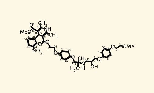 COCCOc1ccc(OCC(O)CNC(C)(C)COc2ccc(OCCOC(=O)C3=C(C)NC(C)=C(C(=O)OC)C3c3cccc([N+](=O)[O-])c3)cc2)cc1